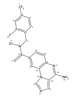 CCN(Cc1ccc(C(F)(F)F)cc1F)C(=O)c1ccc2nc(N)c3cncn3c2c1